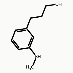 CBc1cccc(CCCO)c1